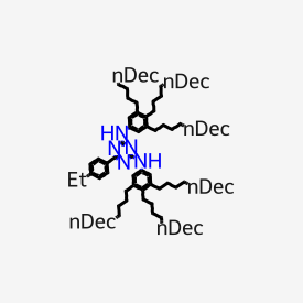 CCCCCCCCCCCCCCc1cc(Nc2nc(Nc3cc(CCCCCCCCCCCCCC)c(CCCCCCCCCCCCCC)c(CCCCCCCCCCCCCC)c3)nc(-c3ccc(CC)cc3)n2)cc(CCCCCCCCCCCCCC)c1CCCCCCCCCCCCCC